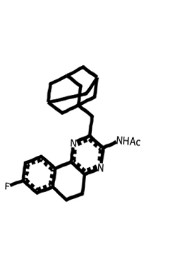 CC(=O)Nc1nc2c(nc1CC13CC4CC(CC(C4)C1)C3)-c1ccc(F)cc1CC2